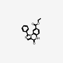 CCOC(=O)c1ccc2[nH]c(=O)c3cnc(-c4ccccc4)n3c2c1